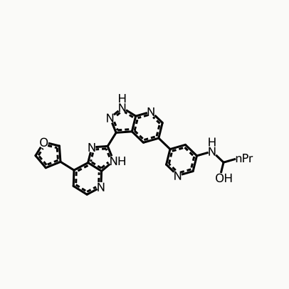 CCCC(O)Nc1cncc(-c2cnc3[nH]nc(-c4nc5c(-c6ccoc6)ccnc5[nH]4)c3c2)c1